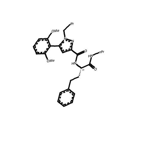 CCCNC(=O)[C@H](CCc1ccccc1)NC(=O)c1cc(-c2c(OC)cccc2OC)n(CC(C)C)n1